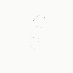 [CH2-][NH+]1CCC(Cc2ccccc2)CC1